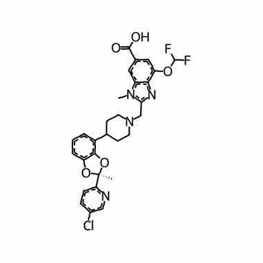 Cn1c(CN2CCC(c3cccc4c3O[C@@](C)(c3ccc(Cl)cn3)O4)CC2)nc2c(OC(F)F)cc(C(=O)O)cc21